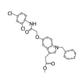 COC(=O)Cc1cn(Cc2ccccc2)c2ccc(OCC(=O)Nc3ccc(Cl)cc3Cl)cc12